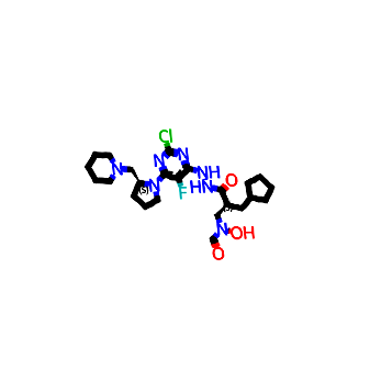 O=CN(O)C[C@H](CC1CCCC1)C(=O)NNc1nc(Cl)nc(N2CCC[C@H]2CN2CCCCC2)c1F